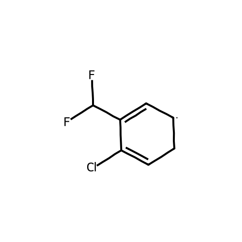 FC(F)C1=C[CH]CC=C1Cl